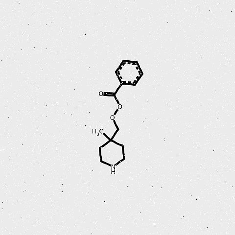 CC1(COOC(=O)c2ccccc2)CCNCC1